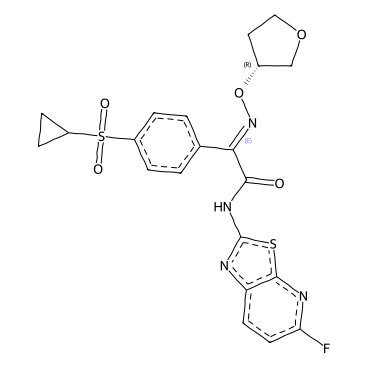 O=C(Nc1nc2ccc(F)nc2s1)/C(=N/O[C@@H]1CCOC1)c1ccc(S(=O)(=O)C2CC2)cc1